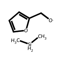 C[SiH2]C.[O]Cc1ccco1